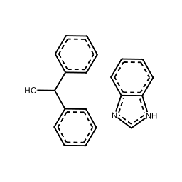 OC(c1ccccc1)c1ccccc1.c1ccc2[nH]cnc2c1